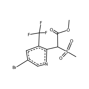 COC(=O)C(c1ncc(Br)cc1C(F)(F)F)S(C)(=O)=O